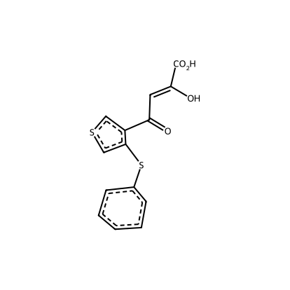 O=C(O)C(O)=CC(=O)c1cscc1Sc1ccccc1